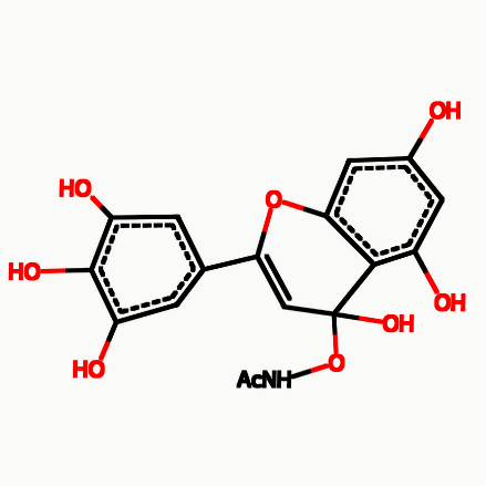 CC(=O)NOC1(O)C=C(c2cc(O)c(O)c(O)c2)Oc2cc(O)cc(O)c21